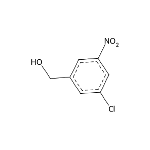 O=[N+]([O-])c1cc(Cl)cc(CO)c1